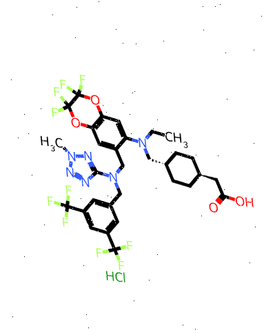 CCN(C[C@H]1CC[C@H](CC(=O)O)CC1)c1cc2c(cc1CN(Cc1cc(C(F)(F)F)cc(C(F)(F)F)c1)c1nnn(C)n1)OC(F)(F)C(F)(F)O2.Cl